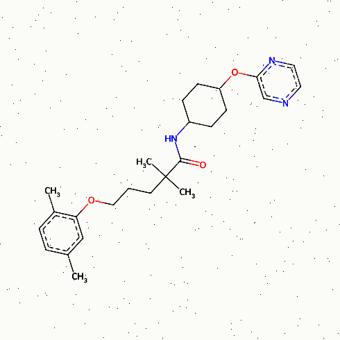 Cc1ccc(C)c(OCCCC(C)(C)C(=O)NC2CCC(Oc3cnccn3)CC2)c1